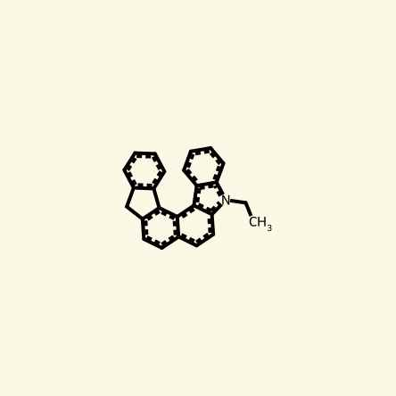 CCn1c2ccccc2c2c3c4c(ccc3ccc21)Cc1ccccc1-4